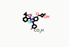 C[C@H]1C=C(c2nn(C(=O)c3c(Cl)cccc3C3(C(F)(F)F)CC3)c3c2CC[C@H](C(=O)C2CC(C)(O)C2)C3)CC[C@H]1C(=O)O